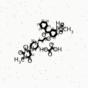 Cn1c(N2CCN(CCCOc3ccc(NS(C)(=O)=O)cc3C(=O)c3ccccc3)CC2)cc(=O)n(C)c1=O.O=C(O)C(=O)O